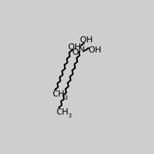 CCCCCCCCCCCCCCC(=O)O.CCCCCCCCCCCCCCCCCCCCN(CCO)CCO